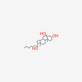 CCCCCC[C@](C)(O)[C@H]1CCC2C3C[C@@]4(O)C[C@@]45C[C@@H](O)CC[C@]5(C)C3CC[C@@]21C